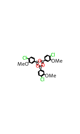 COc1cc(B2OB(c3ccc(Cl)c(OC)c3)OB(c3ccc(Cl)c(OC)c3)O2)ccc1Cl